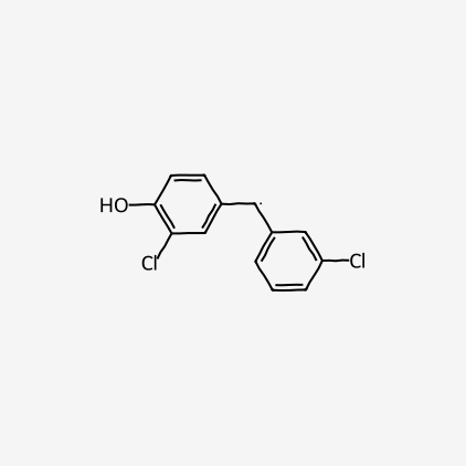 Oc1ccc([CH]c2cccc(Cl)c2)cc1Cl